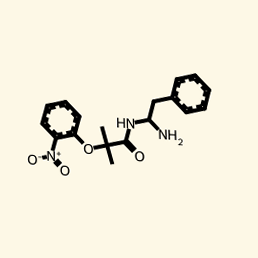 CC(C)(Oc1ccccc1[N+](=O)[O-])C(=O)NC(N)Cc1ccccc1